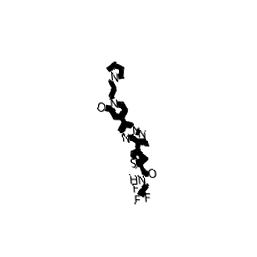 O=C(NCC(F)(F)F)c1cc(-c2cnn3cc(-c4ccn(CCCN5CCCC5)c(=O)c4)cnc23)cs1